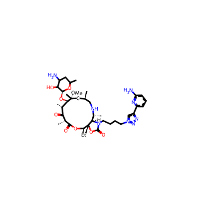 CC[C@H]1OC(=O)[C@H](C)C(=O)[C@H](C)[C@@H](O[C@@H]2OC(C)CC(N)C2O)[C@](C)(OC)C[C@@H](C)CN[C@H](C)[C@H]2N(CCCCn3cc(-c4cccc(N)n4)nn3)C(=O)O[C@]12C